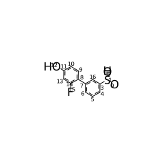 O=[SH](=O)c1cccc(-c2ccc(O)cc2F)c1